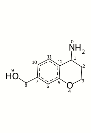 NC1CCOc2cc(CO)ccc21